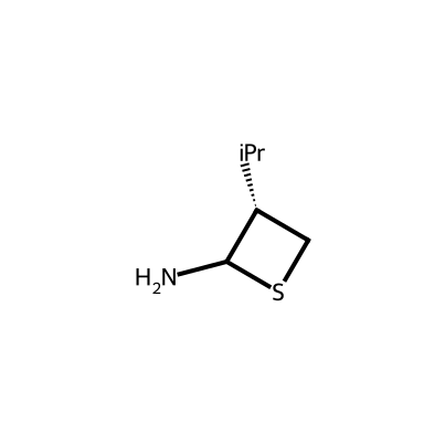 CC(C)[C@@H]1CSC1N